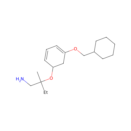 CCC(C)(CN)OC1C=CC=C(OCC2CCCCC2)C1